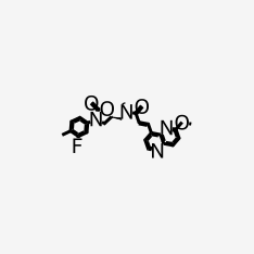 COc1ccc2nccc(/C=C/C(=O)N(C)C[C@H]3CN(c4ccc(C)c(F)c4)C(=O)O3)c2n1